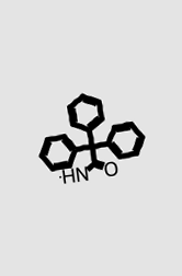 [NH]C(=O)C(c1ccccc1)(c1ccccc1)c1ccccc1